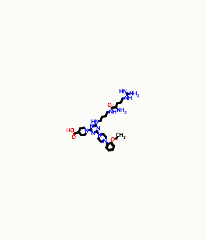 CCOc1ccccc1N1CCN(c2nc(NCCCCNC(=O)[C@@H](N)CCCNC(=N)N)nc(N3CCC(C(=O)O)CC3)n2)CC1